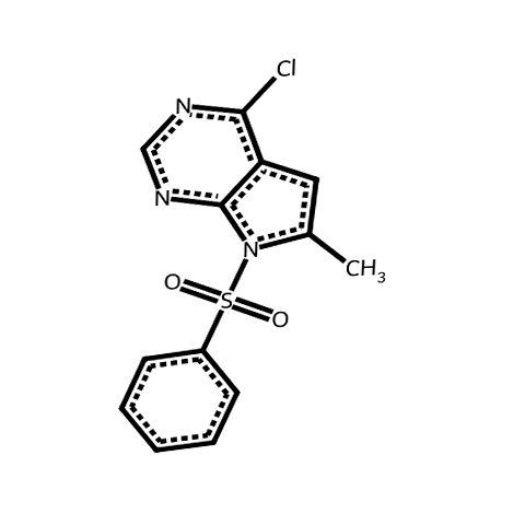 Cc1cc2c(Cl)ncnc2n1S(=O)(=O)c1ccccc1